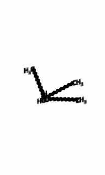 CCCCCCCCCCCCCCCCO[PH](O)(CCCCCCCCCCCCCCCC)OCCCCCCCCCCCCCCCC